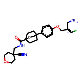 N#CC1(CNC(=O)C23CCC(c4ccc(OC/C(=C/F)CN)cc4)(CC2)CC3)CCOCC1